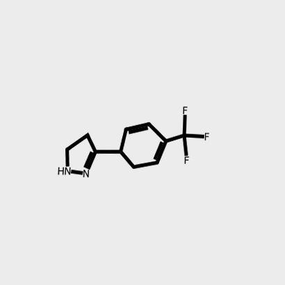 FC(F)(F)C1=CCC(C2=NNCC2)C=C1